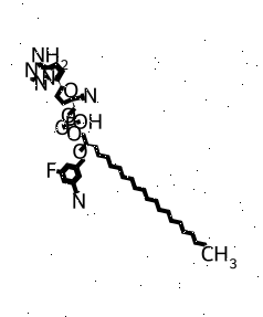 CCCCCCCCCCCCCCCCCCCC[C@H](COP(=O)(O)OC[C@]1(C#N)CC[C@H](c2ccc3c(N)ncnn23)O1)OCc1cc(F)cc(C#N)c1